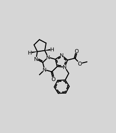 COC(=O)c1nc2c(n1Cc1ccccc1)C(=O)N(C)C1=N[C@@H]3CCC[C@@H]3N12